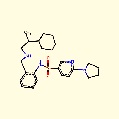 CC(CNCc1ccccc1NS(=O)(=O)c1ccc(N2CCCC2)nc1)C1CCCCC1